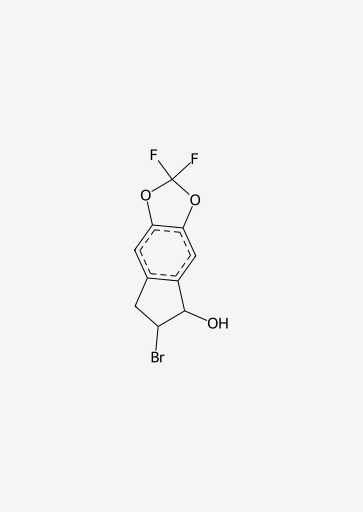 OC1c2cc3c(cc2CC1Br)OC(F)(F)O3